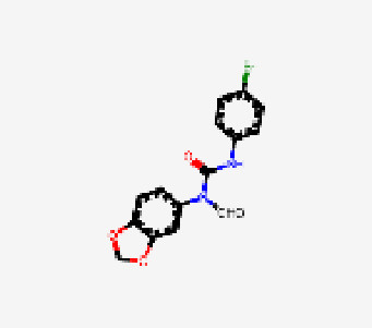 O=CN(C(=O)Nc1ccc(Br)cc1)c1ccc2c(c1)OCO2